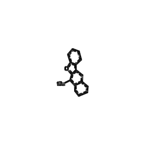 CC(C)(C)c1c2ccccc2cc2c1oc1ccccc12